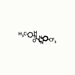 C[C@H]1CC[C@H](NC(=O)c2cnc3cc(C(F)(F)F)ccc3n2)CC1